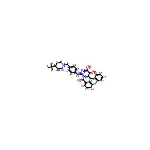 CC(C)(C)C1CCN(Cc2ccc(/C=C/N(C(=O)c3ccccc3)C(Cc3ccccc3)C(=O)C(N)=O)cc2)CC1